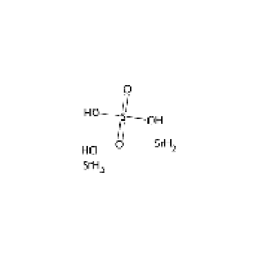 Cl.O=S(=O)(O)O.[SrH2].[SrH2]